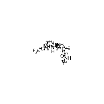 O=C(NC12CC(C1)C2)O[C@H]1C[C@@H](c2cc(Nc3nccc4nc(OCC(F)(F)F)cn34)n[nH]2)C[C@H]1F